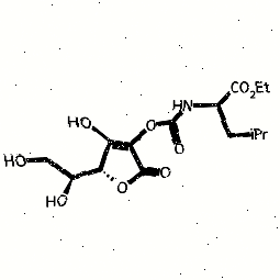 CCOC(=O)C(CC(C)C)NC(=O)OC1=C(O)[C@@H]([C@@H](O)CO)OC1=O